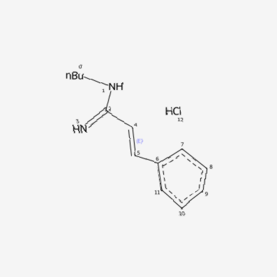 CCCCNC(=N)/C=C/c1ccccc1.Cl